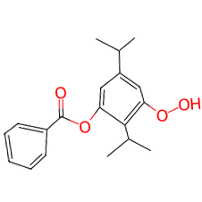 CC(C)c1cc(OO)c(C(C)C)c(OC(=O)c2ccccc2)c1